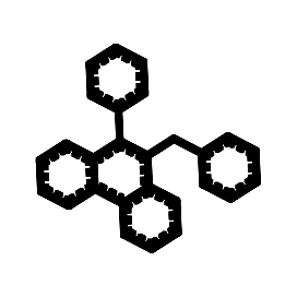 c1ccc(Cc2c(-c3ccccc3)c3ccccc3c3ccccc23)cc1